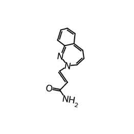 NC(=O)/C=C/N1C=CC=c2ccccc2=N1